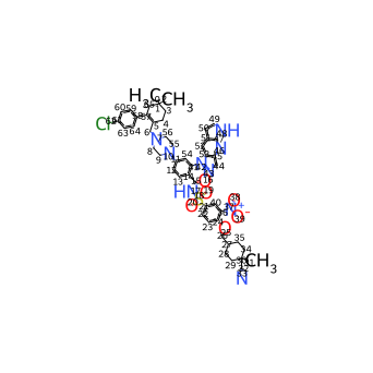 CC1(C)CCC(CN2CCN(c3ccc(C(=O)NS(=O)(=O)c4ccc(OCC5CCC(C)(C#N)CC5)c([N+](=O)[O-])c4)c(-n4ncc5nc6[nH]ccc6cc54)c3)CC2)=C(c2ccc(Cl)cc2)C1